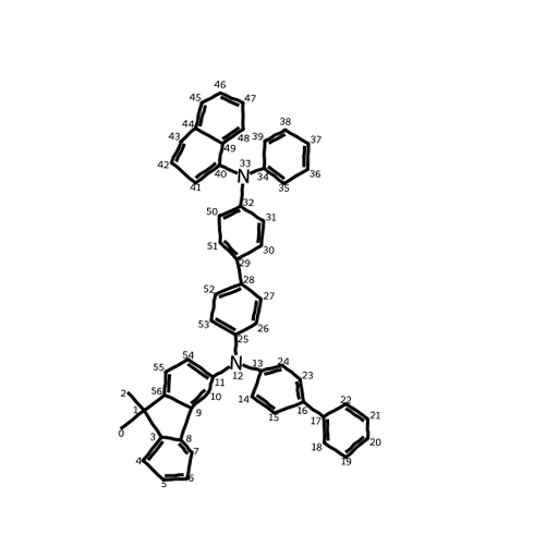 CC1(C)c2ccccc2-c2cc(N(c3ccc(-c4ccccc4)cc3)c3ccc(-c4ccc(N(c5ccccc5)c5cccc6ccccc56)cc4)cc3)ccc21